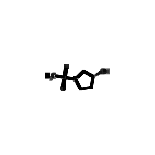 CS(=O)(=O)N1CC[C@@H](O)C1